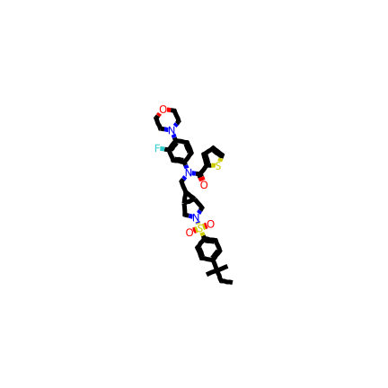 CCC(C)(C)c1ccc(S(=O)(=O)N2CC3C(CN(C(=O)c4cccs4)c4ccc(N5CCOCC5)c(F)c4)C3C2)cc1